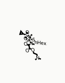 CCCCCCSP(=S)(N(C)C(=O)C(=O)OCCN(C)C)N(C)S(=O)(=O)C1CC1